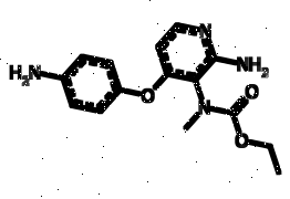 CCOC(=O)N(C)c1c(Oc2ccc(N)cc2)ccnc1N